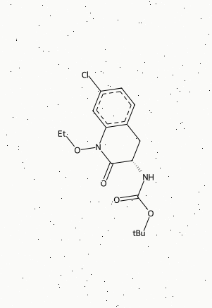 CCON1C(=O)[C@@H](NC(=O)OC(C)(C)C)Cc2ccc(Cl)cc21